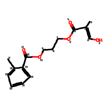 CC(=CO)C(=O)OCCCOC(=O)c1ccccc1C